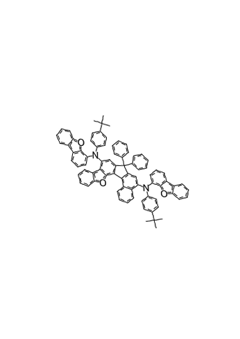 CC(C)(C)c1ccc(N(c2cc3c(c4ccccc24)-c2c(cc(N(c4ccc(C(C)(C)C)cc4)c4cccc5c4oc4ccccc45)c4c2oc2ccccc24)C3(c2ccccc2)c2ccccc2)c2cccc3c2oc2ccccc23)cc1